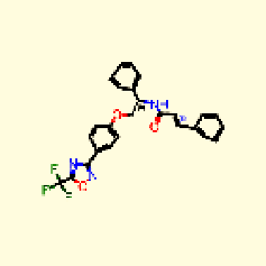 O=C(/C=C/c1ccccc1)N[C@@H](COc1ccc(-c2noc(C(F)(F)F)n2)cc1)c1ccccc1